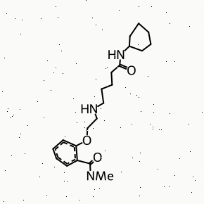 CNC(=O)c1ccccc1OCCNCCCCC(=O)NC1CCCCC1